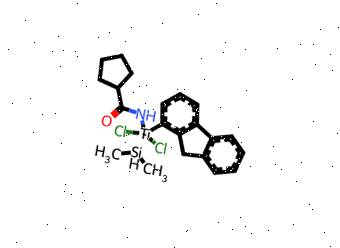 C[SiH](C)[Ti]([Cl])([Cl])([NH]C(=O)C1CCCC1)[c]1cccc2c1Cc1ccccc1-2